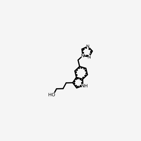 OCCCc1c[nH]c2ccc(Cn3cncn3)cc12